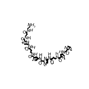 Cn1cc(NC(=O)c2nc(NC(=O)CCNC(=O)c3cc(NC(=O)c4nccn4C)cn3C)cn2C)cc1C(=O)NCCC(=O)Nc1cn(C)c(C(=O)NCCC(=O)NCCN)n1